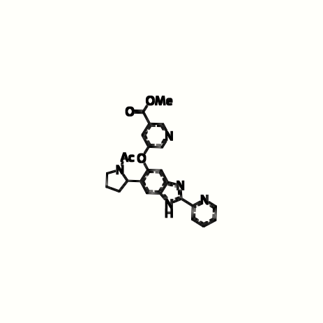 COC(=O)c1cncc(Oc2cc3nc(-c4ccccn4)[nH]c3cc2C2CCCN2C(C)=O)c1